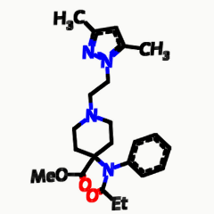 CCC(=O)N(c1ccccc1)C1(C(=O)OC)CCN(CCn2nc(C)cc2C)CC1